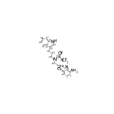 Nc1cccc(OCCN(CCCc2c[nH]c3ccccc23)C(=O)C(F)(F)F)c1N